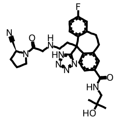 CC(C)(O)CNC(=O)c1ccc2c(c1)CCc1cc(F)ccc1C2(CCNCC(=O)N1CCC[C@H]1C#N)c1nnn[nH]1